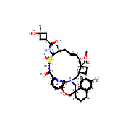 CO[C@H]1/C=C/C[C@H](C)C(NC(=O)[C@H]2C[C@](C)(O)C2)/[SH](=O)=N\C(=O)c2ccc3c(n2)N(C[C@@H]2CC[C@H]21)C[C@@]1(CCCc2cc(Cl)ccc21)CO3